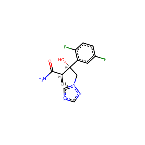 C[C@@H](C(N)=O)[C@](O)(Cn1cncn1)c1cc(F)ccc1F